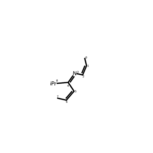 C\C=C/N=C(\C=C/C)C(C)C